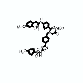 COc1ccc(CC(=O)Nc2ccc(C(=O)N(CC(=O)OC(C)(C)C)Cc3ccc(-c4noc(NS(=O)(=O)c5ccc(C)cc5)n4)cc3)cc2)c(C(F)(F)F)c1